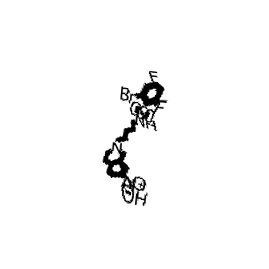 O=[N+](O)c1ccc2c(c1)CN(CCCCCNS(=O)(=O)c1c(F)cc(F)cc1Br)CC2